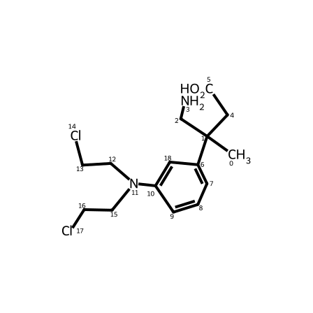 CC(CN)(CC(=O)O)c1cccc(N(CCCl)CCCl)c1